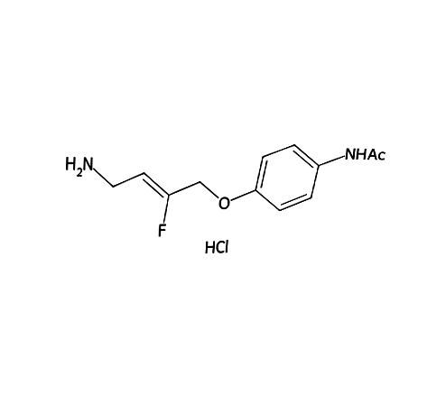 CC(=O)Nc1ccc(OCC(F)=CCN)cc1.Cl